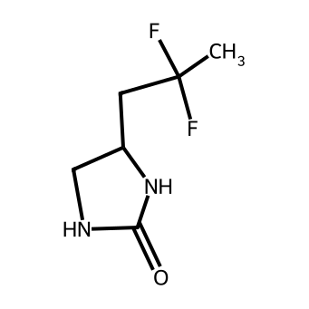 CC(F)(F)CC1CNC(=O)N1